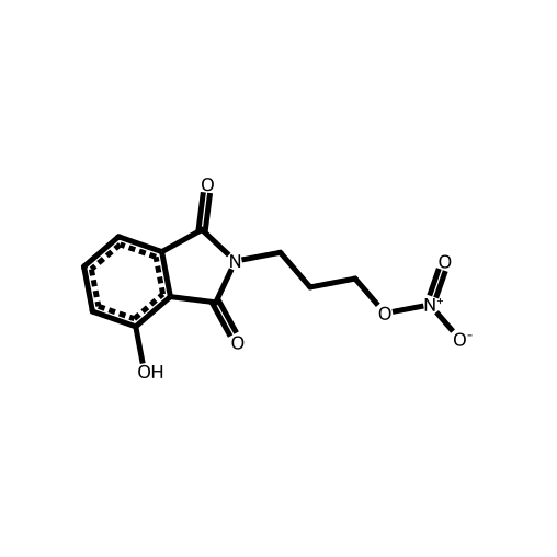 O=C1c2cccc(O)c2C(=O)N1CCCO[N+](=O)[O-]